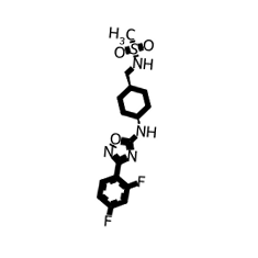 CS(=O)(=O)NC[C@H]1CC[C@H](Nc2nc(-c3ccc(F)cc3F)no2)CC1